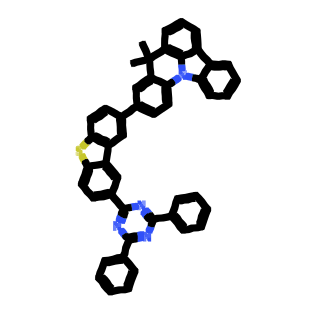 CC1(C)c2cc(-c3ccc4sc5ccc(-c6nc(-c7ccccc7)nc(-c7ccccc7)n6)cc5c4c3)ccc2-n2c3ccccc3c3cccc1c32